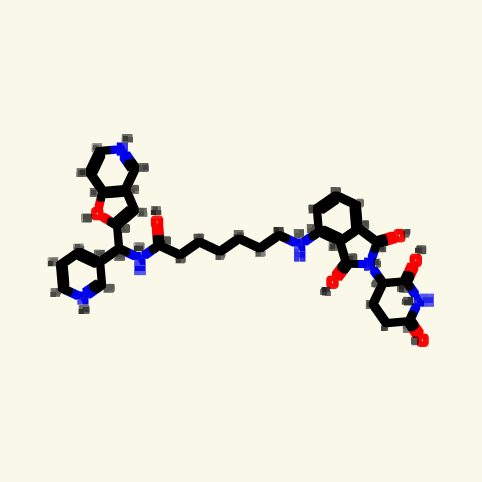 O=C1CCC(N2C(=O)c3cccc(NCCCCCCC(=O)NC(c4cccnc4)c4cc5cnccc5o4)c3C2=O)C(=O)N1